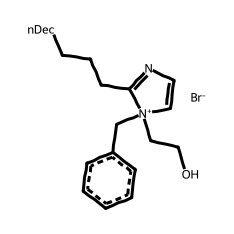 CCCCCCCCCCCCCC1=NC=C[N+]1(CCO)Cc1ccccc1.[Br-]